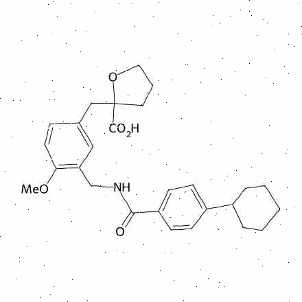 COc1ccc(CC2(C(=O)O)CCCO2)cc1CNC(=O)c1ccc(C2CCCCC2)cc1